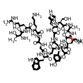 CSCC[C@H](NC(=O)[C@H](C)NC(=O)[C@H](CO)NC(=O)[C@H](Cc1c[nH]cn1)NC(=O)CNC(=O)[C@H](C)NC(=O)CNC(=O)[C@H](Cc1c[nH]c2ccccc12)NC(=O)CNC(=O)CNC(=O)[C@H](CCCCN)NC(=O)[C@H](CCCNC(=N)N)NC(=O)[C@@H](N)[C@@H](C)O)C(=O)N[C@@H](CC(=O)O)C(=O)N[C@@H](Cc1ccc(O)cc1)C(=O)O